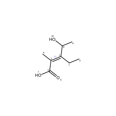 CC/C(=C(/C)C(=O)O)C(C)O